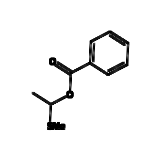 CSC(C)OC(=O)c1ccccc1